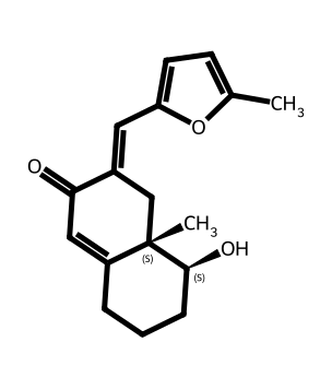 Cc1ccc(C=C2C[C@@]3(C)C(=CC2=O)CCC[C@@H]3O)o1